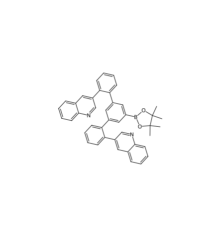 CC1(C)OB(c2cc(-c3ccccc3-c3cnc4ccccc4c3)cc(-c3ccccc3-c3cnc4ccccc4c3)c2)OC1(C)C